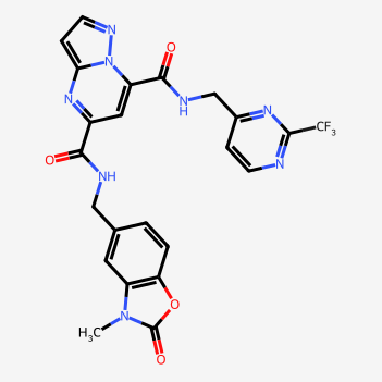 Cn1c(=O)oc2ccc(CNC(=O)c3cc(C(=O)NCc4ccnc(C(F)(F)F)n4)n4nccc4n3)cc21